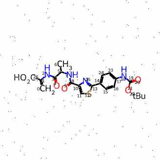 C=C(NC(=O)C(C)NC(=O)c1csc(-c2ccc(NC(=O)OC(C)(C)C)cc2)n1)C(=O)O